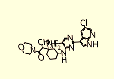 C[C@@H](C(=O)N1CCOCC1)[C@]1(P)CCC[C@@H](Nc2nc(-c3c[nH]c4ncc(Cl)cc34)ncc2F)C1